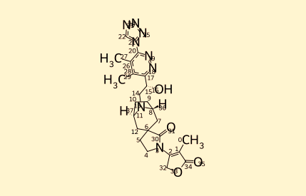 CC1=C(N2CCC3(C[C@H]4CC[C@H](C3)N4C[C@@H](O)c3nnc(-n4cnnn4)c(C)c3C)C2=O)COC1=O